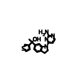 CC(O)(c1ccsc1)c1ccc2c(c1)N(c1ccnc(N)n1)CC2